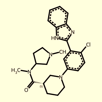 CN1CCC(N(C)C(=O)[C@H]2CCCN(c3ccc(Cl)c(-c4nc5ccccc5[nH]4)c3)C2)C1